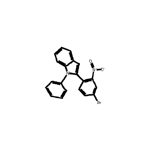 O=[N+]([O-])c1cc(Br)ccc1-c1cc2ccccc2n1-c1ccccc1